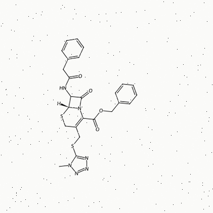 Cn1nnnc1SCC1=C(C(=O)OCc2ccccc2)N2C(=O)C(NC(=O)Cc3ccccc3)[C@H]2SC1